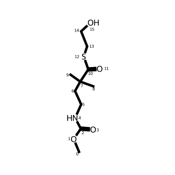 COC(=O)NCCC(C)(C)C(=O)SCCO